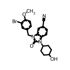 COc1ccc(Cn2c(=O)n(C3CCC(O)CC3)c3ccc(C#N)cc32)cc1Br